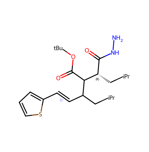 CC(C)CC(/C=C/c1cccs1)C(C(=O)OC(C)(C)C)[C@@H](CC(C)C)C(=O)NN